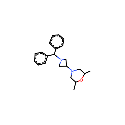 CC1CN(C2CN(C(c3ccccc3)c3ccccc3)C2)CC(C)O1